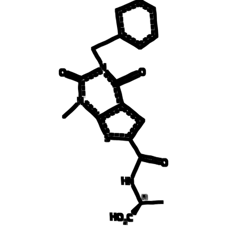 C[C@H](NC(=O)c1cc2c(=O)n(Cc3ccccc3)c(=O)n(C)c2s1)C(=O)O